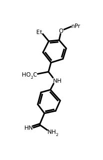 CCCOc1ccc(C(Nc2ccc(C(=N)N)cc2)C(=O)O)cc1CC